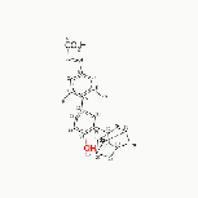 Cc1cc(/C=C/C(=O)O)cc(C)c1-c1ccc(O)c(C23CC4CC(CC(C4)C2)C3)c1